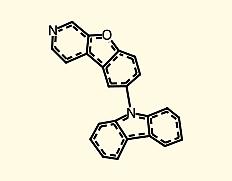 c1ccc2c(c1)c1ccccc1n2-c1ccc2oc3cnccc3c2c1